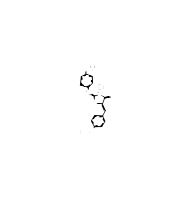 CCN1C(=O)/C(=C/c2ccc(C)cc2)S/C1=N/c1ccc(OC)cc1